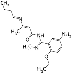 CCC/C=N/C(C)=C/C(=O)N/C(=N\C)c1cc(N)ccc1OCC